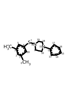 Cc1cc(C)cc(SN2CCN(c3ccccc3)CC2)c1